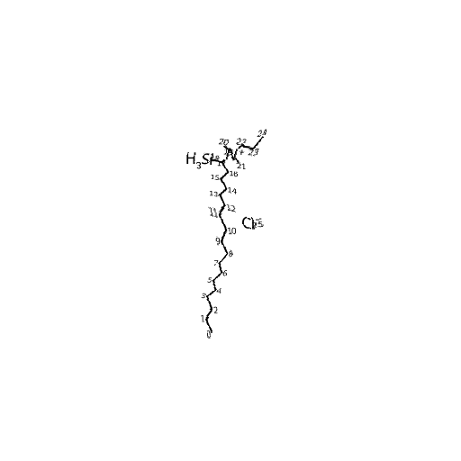 CCCCCCCCCCCCCCCCCC([SiH3])[N+](C)(C)CCC.[Cl-]